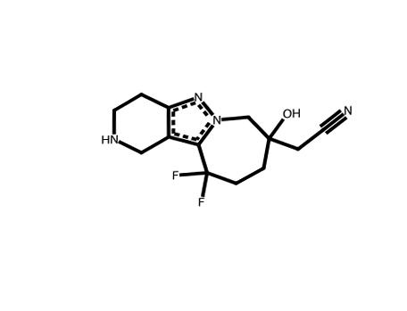 N#CCC1(O)CCC(F)(F)c2c3c(nn2C1)CCNC3